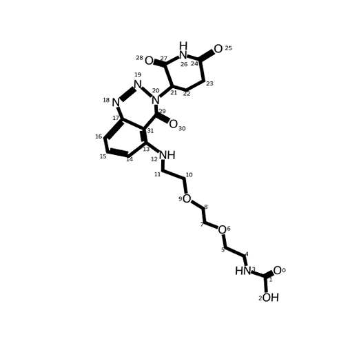 O=C(O)NCCOCCOCCNc1cccc2nnn(C3CCC(=O)NC3=O)c(=O)c12